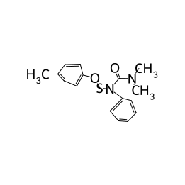 Cc1ccc(OSN(C(=O)N(C)C)c2ccccc2)cc1